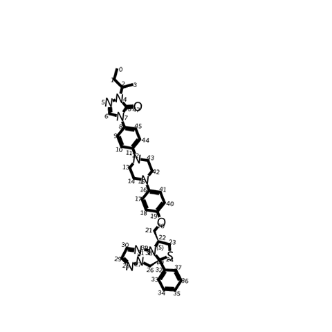 CCC(C)n1ncn(-c2ccc(N3CCN(c4ccc(OC[C@H]5CS[C@](Cn6nccn6)(c6ccccc6)N5C)cc4)CC3)cc2)c1=O